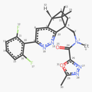 CCN(C[C@@]12CC[C@@H](c3cc(-c4c(F)cccc4F)nnc31)C2(C)C)C(=O)c1nnc(C)o1